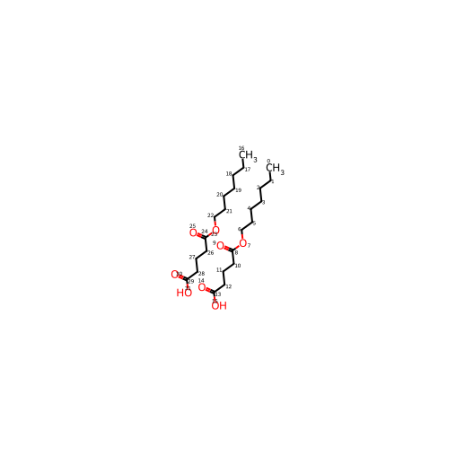 CCCCCCCOC(=O)CCCC(=O)O.CCCCCCCOC(=O)CCCC(=O)O